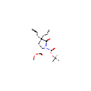 C=CCC1(CC=C)C[C@@H](C(=O)OC)N(C(=O)OC(C)(C)C)C1=O